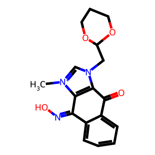 C[n+]1cn(CC2OCCCO2)c2c1C(=NO)c1ccccc1C2=O